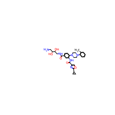 Cc1ccccc1N1CCN(c2ccc(C(=O)NC[C@H](O)[C@@H](O)CN)cc2NC(=O)c2coc(C3CC3)n2)CC1